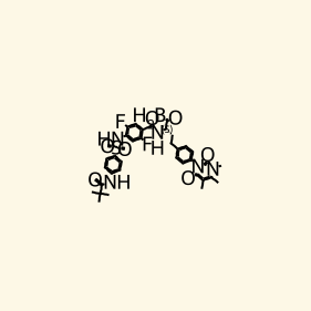 BC(=O)[C@H](CCc1ccc(-n2c(=O)c(C)c(C)n(C)c2=O)cc1)NC(=O)c1cc(F)c(NS(=O)(=O)c2ccc(NC(=O)C(C)(C)C)cc2)cc1F